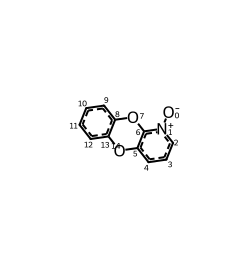 [O-][n+]1cccc2c1Oc1ccccc1O2